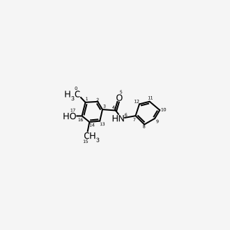 Cc1cc(C(=O)Nc2ccccc2)cc(C)c1O